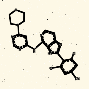 N#Cc1cc(Cl)c(-c2nc3ccnc(Nc4cc(N5CCOCC5)ncn4)c3[nH]2)c(Cl)c1